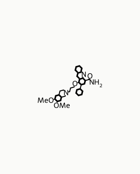 COc1cc2c(cc1OC)CN(CCCOc1c(-c3ccccc3)cc(C(N)=O)c3nc4ccccc4cc13)CC2